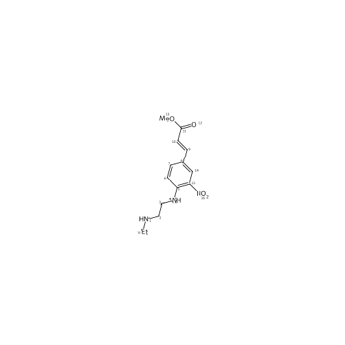 CCNCCNc1ccc(/C=C/C(=O)OC)cc1[N+](=O)[O-]